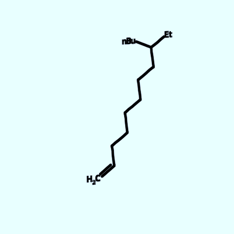 C=CCCCCCCC(CC)CCCC